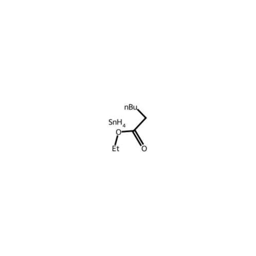 CCCCCC(=O)OCC.[SnH4]